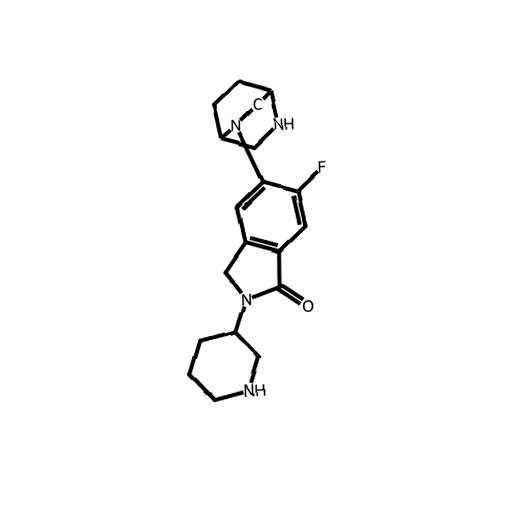 O=C1c2cc(F)c(N3CC4CCC3CN4)cc2CN1C1CCCNC1